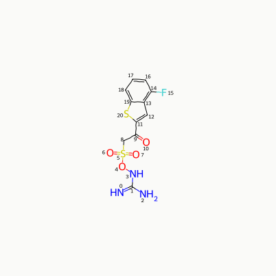 N=C(N)NOS(=O)(=O)CC(=O)c1cc2c(F)cccc2s1